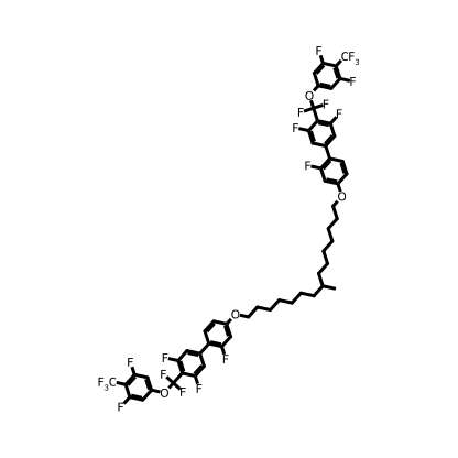 CC(CCCCCCCOc1ccc(-c2cc(F)c(C(F)(F)Oc3cc(F)c(C(F)(F)F)c(F)c3)c(F)c2)c(F)c1)CCCCCCCOc1ccc(-c2cc(F)c(C(F)(F)Oc3cc(F)c(C(F)(F)F)c(F)c3)c(F)c2)c(F)c1